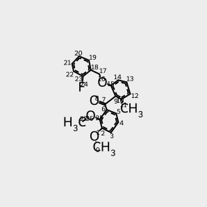 COc1cccc(C(=O)c2c(C)cccc2OCc2ccccc2F)c1OC